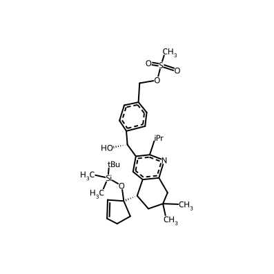 CC(C)c1nc2c(cc1[C@H](O)c1ccc(COS(C)(=O)=O)cc1)[C@@H](C1(O[Si](C)(C)C(C)(C)C)C=CCC1)CC(C)(C)C2